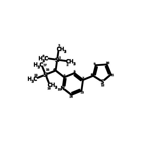 C[Si](C)(C)C(c1cc(-c2cccs2)ccn1)[Si](C)(C)C